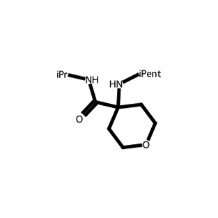 CCCC(C)NC1(C(=O)NC(C)C)CCOCC1